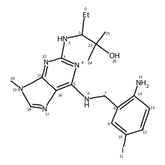 CCC(Nc1nc(NCc2cc(I)ccc2N)c2ncn(C)c2n1)C(C)(C)O